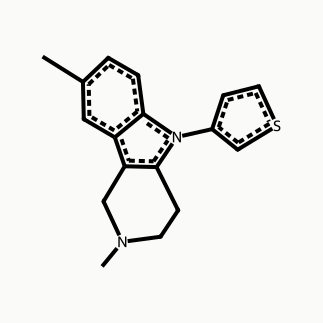 Cc1ccc2c(c1)c1c(n2-c2ccsc2)CCN(C)C1